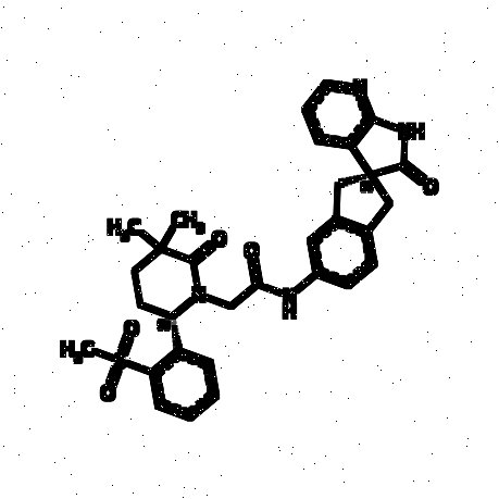 CC1(C)CC[C@@H](c2ccccc2S(C)(=O)=O)N(CC(=O)Nc2ccc3c(c2)C[C@@]2(C3)C(=O)Nc3ncccc32)C1=O